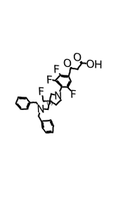 O=C(O)CC(=O)c1cc(F)c(N2CC[C@](CF)(CN(Cc3ccccc3)Cc3ccccc3)C2)c(F)c1F